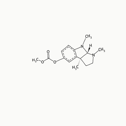 COC(=O)Oc1ccc2c(c1)[C@]1(C)CCN(C)[C@H]1N2C